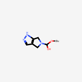 CC(C)(C)OC(O)N1Cc2cn[nH]c2C1